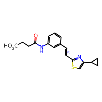 O=C(O)CCC(=O)Nc1cccc(/C=C/c2nc(C3CC3)cs2)c1